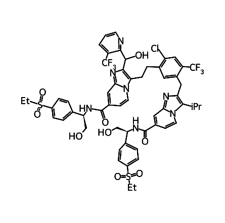 CCS(=O)(=O)c1ccc([C@H](CO)NC(=O)c2ccn3c(CCc4cc(Cc5nc6cc(C(=O)N[C@H](CO)c7ccc(S(=O)(=O)CC)cc7)ccn6c5C(C)C)c(C(F)(F)F)cc4Cl)c(C(O)c4ncccc4C(F)(F)F)nc3c2)cc1